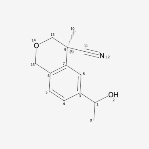 CC(O)c1ccc2c(c1)[C@](C)(C#N)COC2